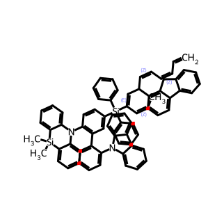 C=C/C=C\C=C/C(/C=C(\C=C/C)[Si](c1ccccc1)(c1ccccc1)c1ccc(N2c3ccccc3[Si](C)(C)c3ccccc32)c(-c2ccccc2-n2c3ccccc3c3ccccc32)c1)c1cccc2c1Cc1ccccc1-2